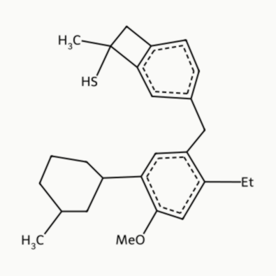 CCc1cc(OC)c(C2CCCC(C)C2)cc1Cc1ccc2c(c1)C(C)(S)C2